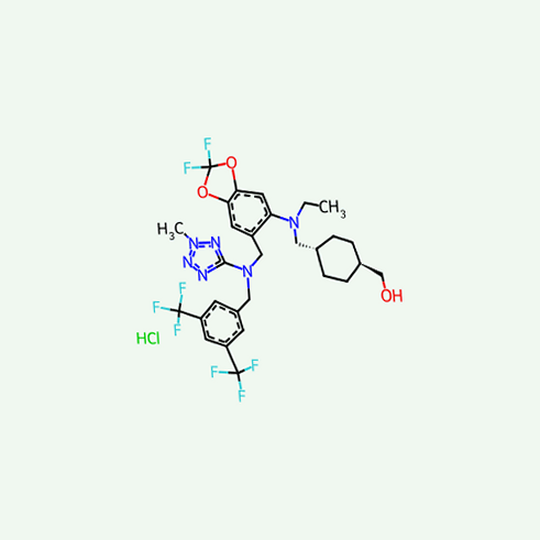 CCN(C[C@H]1CC[C@H](CO)CC1)c1cc2c(cc1CN(Cc1cc(C(F)(F)F)cc(C(F)(F)F)c1)c1nnn(C)n1)OC(F)(F)O2.Cl